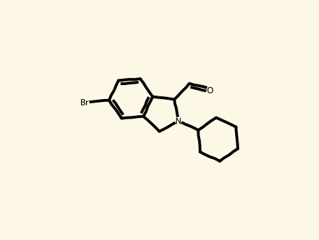 O=CC1c2ccc(Br)cc2CN1C1CCCCC1